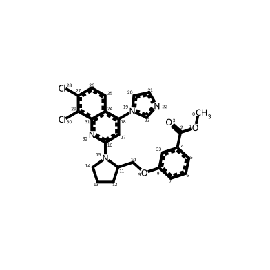 COC(=O)c1cccc(OCC2CCCN2c2cc(-n3ccnc3)c3ccc(Cl)c(Cl)c3n2)c1